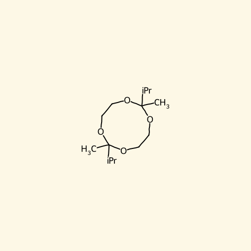 CC(C)C1(C)OCCOC(C)(C(C)C)OCCO1